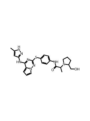 Cc1cc(Nc2nc(Sc3ccc(NC(=O)C(C)N4CCCC4CO)cc3)nn3cccc23)n[nH]1